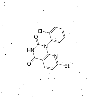 CCc1ccc2c(=O)[nH]c(=O)n(-c3ccccc3Cl)c2n1